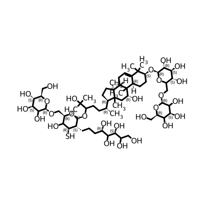 C[C@H](CCC(O[C@@H]1O[C@H](CO[C@@H]2O[C@H](CO)[C@@H](O)[C@H](O)C2O)C(O)[C@H](S)[C@H]1CCC[C@@H](O)C(O)[C@@H](O)C(O)CO)C(C)(C)O)[C@H]1CC[C@@]2(C)[C@@H]3CC=C4[C@@H](CC[C@H](O[C@@H]5OC(CO[C@@H]6O[C@H](CO)C(O)[C@H](O)C6O)[C@@H](O)[C@H](O)[C@H]5O)C4(C)C)C3(C)[C@H](O)CC12C